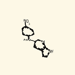 O=[N+]([O-])c1ccc(Nc2cnc3[nH]ccc3c2)cc1